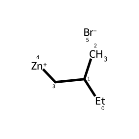 CCC(C)[CH2][Zn+].[Br-]